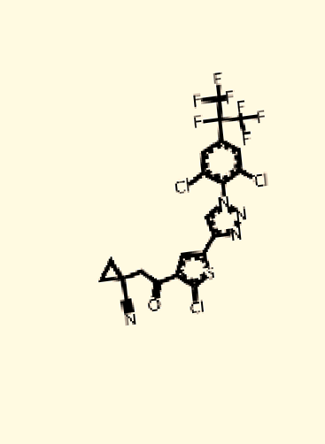 N#CC1(CC(=O)c2cc(-c3cn(-c4c(Cl)cc(C(F)(C(F)(F)F)C(F)(F)F)cc4Cl)nn3)sc2Cl)CC1